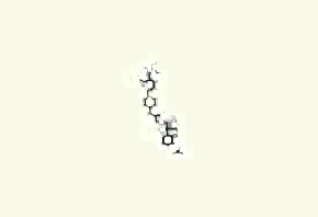 CC(C)Oc1cccc([C@@](O)(C(=O)N2CC(CC3CCN(c4ccc(C(=O)N(C)C)c(Cl)n4)CC3)C2)C(F)(F)F)c1